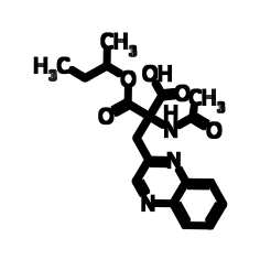 CCC(C)OC(=O)C(Cc1cnc2ccccc2n1)(NC(C)=O)C(=O)O